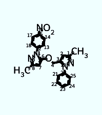 Cc1cc(COc2cc(C)nn2-c2ccc([N+](=O)[O-])cc2)n(-c2ccccc2)n1